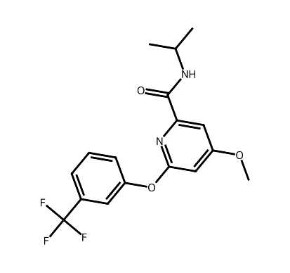 COc1cc(Oc2cccc(C(F)(F)F)c2)nc(C(=O)NC(C)C)c1